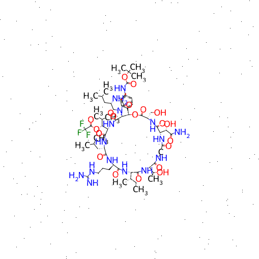 CC[C@H](C)[C@@H]1NC(=O)[C@@H](CCCNC(=N)N)NC(=O)[C@H](CC(C)C)NC(=O)[C@H]([C@H](OC(=O)C(F)(F)F)C(C)C)NC(=O)[C@@H](N(C(=O)CCNC(=O)OC(C)(C)C)C(=O)[C@@H](N)CC(C)C)[C@@H](c2ccccc2)OC(=O)[C@H](CO)NC(=O)[C@H]([C@H](O)C(N)=O)NC(=O)CNC(=O)[C@H]([C@H](C)O)NC1=O